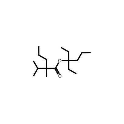 CCCC(CC)(CC)OC(=O)C(C)(CCC)C(C)C